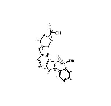 O=C(O)N1CCN(Cc2cnc3sc(-c4ccccc4[N+](=O)[O-])nc3c2)CC1